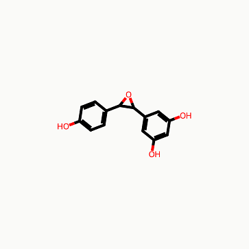 Oc1ccc(C2OC2c2cc(O)cc(O)c2)cc1